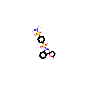 CN(C)S(=O)(=O)c1ccc(S(=O)(=O)N2C[C@@]3(CCCO3)c3ccccc32)cc1